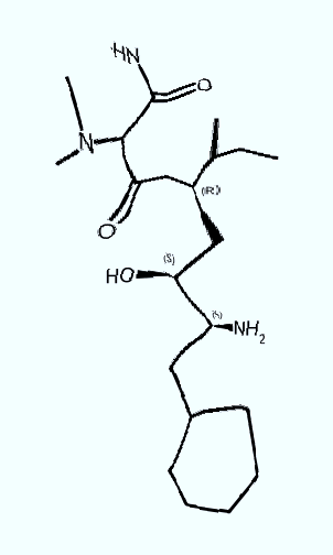 CC(C)[C@@H](C[C@H](O)[C@@H](N)CC1CCCCC1)C(=O)C(C([NH])=O)N(C)C